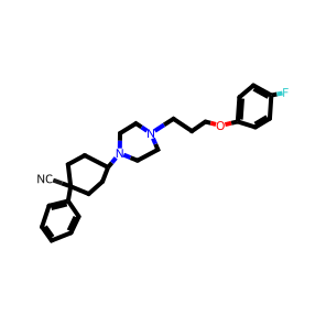 N#CC1(c2ccccc2)CCC(N2CCN(CCCOc3ccc(F)cc3)CC2)CC1